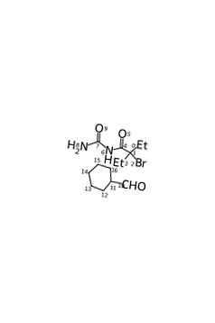 CCC(Br)(CC)C(=O)NC(N)=O.O=CC1CCCCC1